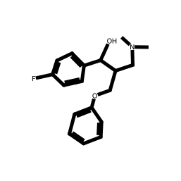 CN(C)CC(COc1ccccc1)C(O)c1ccc(F)cc1